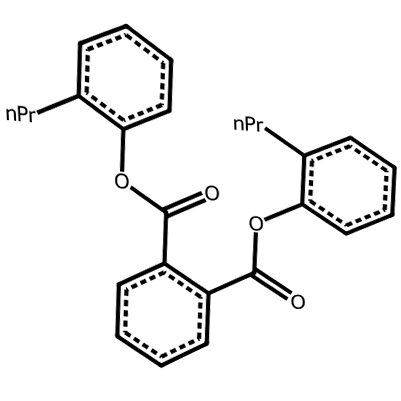 CCCc1ccccc1OC(=O)c1ccccc1C(=O)Oc1ccccc1CCC